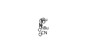 CCCCc1cc(C(=O)OC(C)(C)C)nn1Cc1ccc(-c2ccccc2C#N)cc1